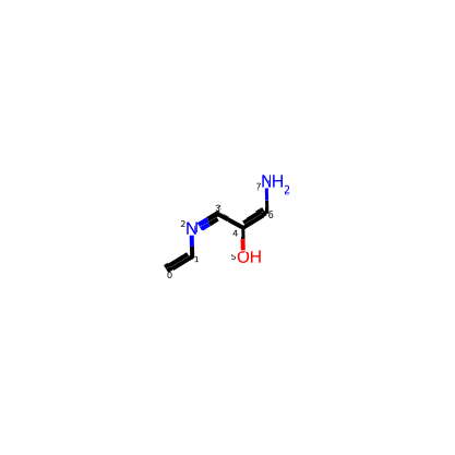 C=C/N=C\C(O)=C/N